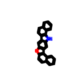 c1ccc2c(c1)ccc1c3cc4oc5ccc6ccccc6c5c4cc3[nH]c21